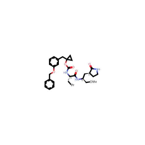 COC[C@H](C[C@@H]1CCNC1=O)NC(=O)[C@H](CC(C)C)NC(=O)OC1(Cc2cccc(OCc3ccccc3)c2)CC1